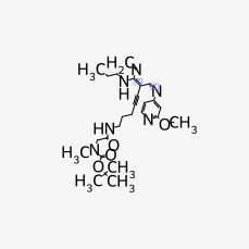 C=N/C(NCCC)=C(C#CCCCNC(=O)CN(C)C(=O)OC(C)(C)C)\C=N/c1ccnc(OC)c1